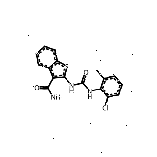 Cc1cccc(Cl)c1NC(=O)Nc1sc2ccccc2c1C([NH])=O